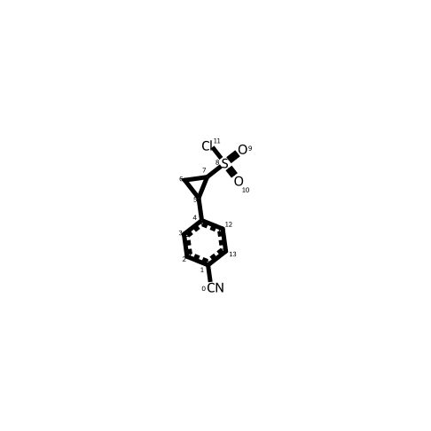 N#Cc1ccc(C2CC2S(=O)(=O)Cl)cc1